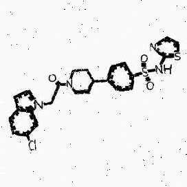 O=C(Cn1ccc2ccc(Cl)cc21)N1CCC(c2ccc(S(=O)(=O)Nc3nccs3)cc2)CC1